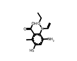 C=CN(OCC)c1c(N)cc(S)c(C)c1C(=O)O